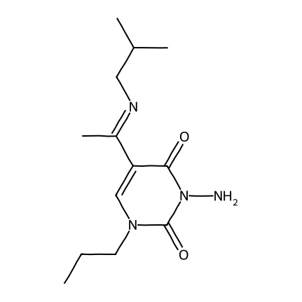 CCCn1cc(/C(C)=N/CC(C)C)c(=O)n(N)c1=O